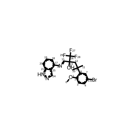 COc1ccc(Br)cc1C(C)(C)CC(O)(C=Nc1cccc2[nH]ncc12)C(F)(F)F